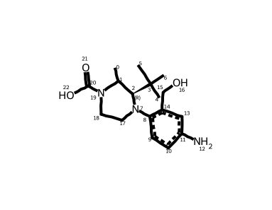 CC1[C@@H](C(C)(C)C)N(c2ccc(N)cc2CO)CCN1C(=O)O